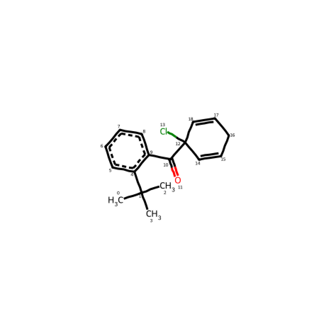 CC(C)(C)c1ccccc1C(=O)C1(Cl)C=CCC=C1